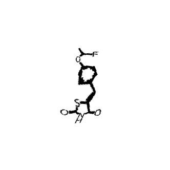 CC(F)Oc1ccc(/C=C2\SC(=O)NC2=O)cc1